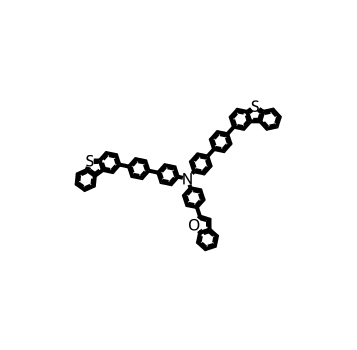 c1ccc2oc(-c3ccc(N(c4ccc(-c5ccc(-c6ccc7sc8ccccc8c7c6)cc5)cc4)c4ccc(-c5ccc(-c6ccc7sc8ccccc8c7c6)cc5)cc4)cc3)cc2c1